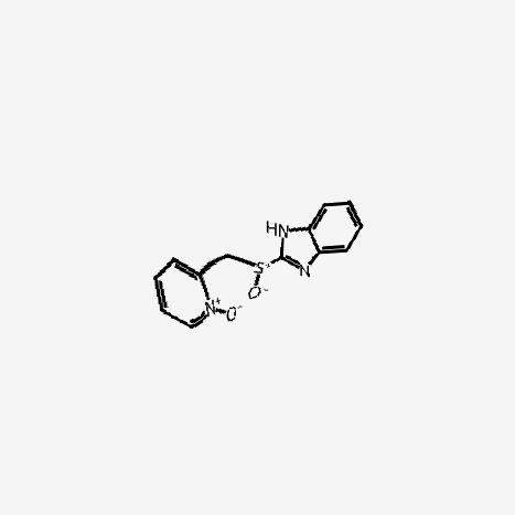 [O-][n+]1ccccc1C[S+]([O-])c1nc2ccccc2[nH]1